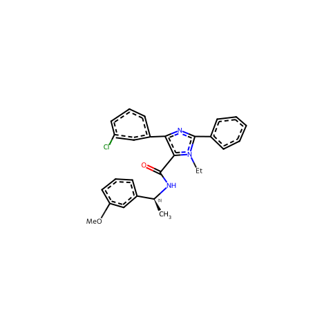 CCn1c(-c2ccccc2)nc(-c2cccc(Cl)c2)c1C(=O)N[C@@H](C)c1cccc(OC)c1